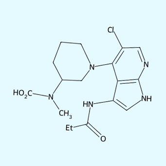 CCC(=O)Nc1c[nH]c2ncc(Cl)c(N3CCCC(N(C)C(=O)O)C3)c12